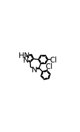 Clc1ccc2c(c1)C(c1ccccc1Cl)=NCc1n[nH]cc1-2